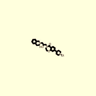 CCN1CC=C(c2ccc3c(c2)OCCN(CC(O)CN2CCc4ccccc4C2)C3=O)CC1